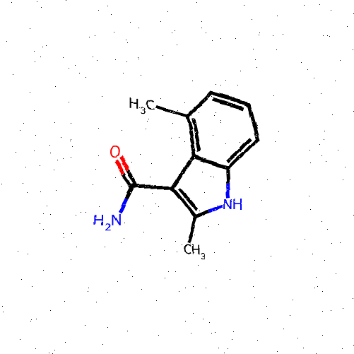 Cc1[nH]c2cccc(C)c2c1C(N)=O